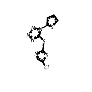 Clc1cnc(Sc2nnnn2-c2cccs2)s1